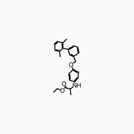 CCOC(=O)C(C)Nc1ccc(OCc2cccc(-c3c(C)cccc3C)c2)cc1